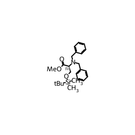 COC(=O)[C@H](CO[Si](C)(C)C(C)(C)C)N(Cc1ccccc1)Cc1ccccc1